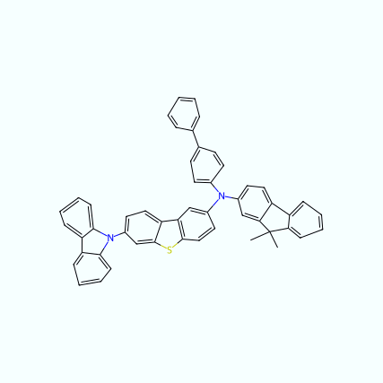 CC1(C)c2ccccc2-c2ccc(N(c3ccc(-c4ccccc4)cc3)c3ccc4sc5cc(-n6c7ccccc7c7ccccc76)ccc5c4c3)cc21